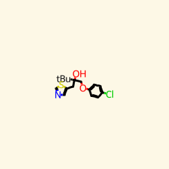 CC(C)(C)C(O)(COc1ccc(Cl)cc1)Cc1cncs1